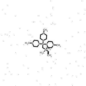 C=C[Si](C)(C)C[Si](N1CCN(C)CC1)(N1CCN(C)CC1)N1CCN(C)CC1